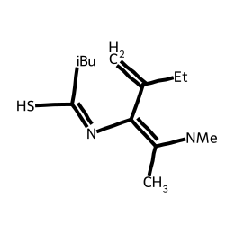 C=C(CC)C(/N=C(/S)C(C)CC)=C(/C)NC